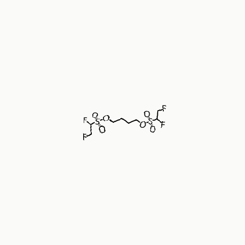 O=S(=O)(OCCCCOS(=O)(=O)C(F)CF)C(F)CF